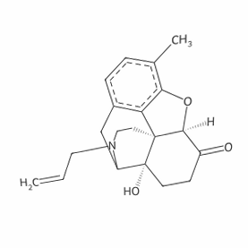 C=CCN1CC[C@]23c4c5ccc(C)c4O[C@H]2C(=O)CC[C@@]3(O)C1C5